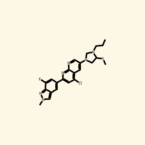 CCCN1CN(c2cnc3nc(-c4cc(F)c5nn(C)cc5c4)cc(Cl)c3c2)CC1SC